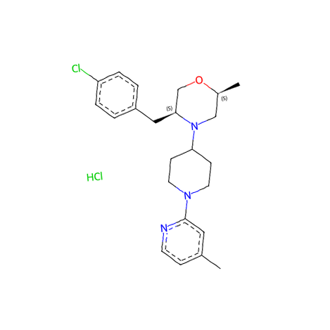 Cc1ccnc(N2CCC(N3C[C@H](C)OC[C@@H]3Cc3ccc(Cl)cc3)CC2)c1.Cl